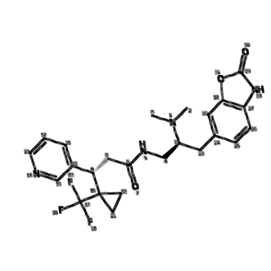 CN(C)[C@H](CNC(=O)C[C@@H](c1cccnc1)C1(C(F)(F)F)CC1)Cc1ccc2[nH]c(=O)oc2c1